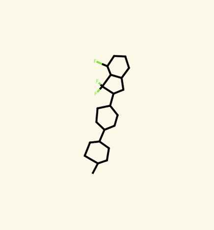 CC1CCC(C2CCC(C3CC4CCCC(F)C4C3(F)F)CC2)CC1